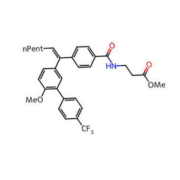 CCCCCC=C(c1ccc(C(=O)NCCC(=O)OC)cc1)c1ccc(OC)c(-c2ccc(C(F)(F)F)cc2)c1